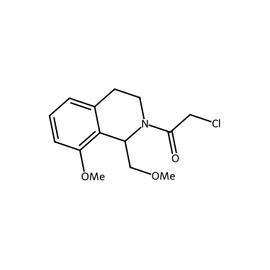 COCC1c2c(cccc2OC)CCN1C(=O)CCl